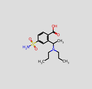 CCCN(CCC)C(C)c1cc(S(N)(=O)=O)ccc1C(=O)O